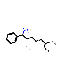 CC(C)CCCCC(N)c1ccccc1